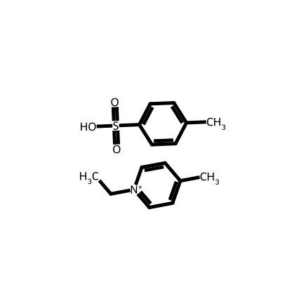 CC[n+]1ccc(C)cc1.Cc1ccc(S(=O)(=O)O)cc1